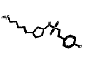 O=C(O)CCCC=CC1CCC(NS(=O)(=O)C=Cc2ccc(Cl)cc2)C1